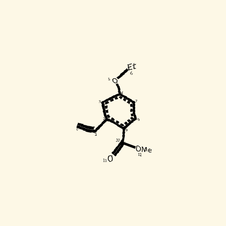 C=Cc1cc(OCC)ccc1C(=O)OC